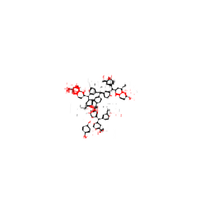 Cc1cc(C(C)(C)c2ccc(C(C)(c3cc(C)c(OCc4ccc(C(=O)O)cc4)c(C(c4ccc(O)c(C(C)(C)C)c4)c4ccc(O)c(C(C)(C)C)c4)c3)c3cc(C)c(OCc4ccc(C(=O)O)cc4)c(C(c4ccc(O)c(C(C)(C)C)c4)c4ccc(O)c(C(C)(C)C)c4)c3)cc2)cc(C(c2ccc(O)c(C(C)(C)C)c2)c2ccc(O)c(C(C)(C)C)c2)c1OCc1ccc(C(=O)O)cc1